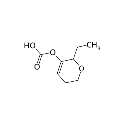 CCC1OCCC=C1OC(=O)O